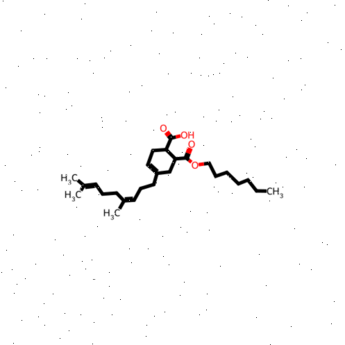 CCCCCCCOC(=O)C1CC(CCC=C(C)CCC=C(C)C)=CCC1C(=O)O